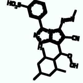 CN=Nc1c(C#N)c(C(OO)C2C(C)CC(C)CC2C)c2[nH]nc(-c3cccc(S(=O)(=O)O)c3)n12